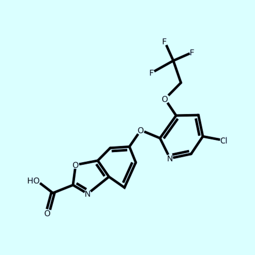 O=C(O)c1nc2ccc(Oc3ncc(Cl)cc3OCC(F)(F)F)cc2o1